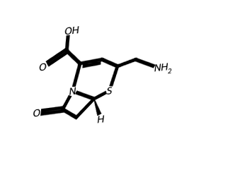 NCC1C=C(C(=O)O)N2C(=O)C[C@H]2S1